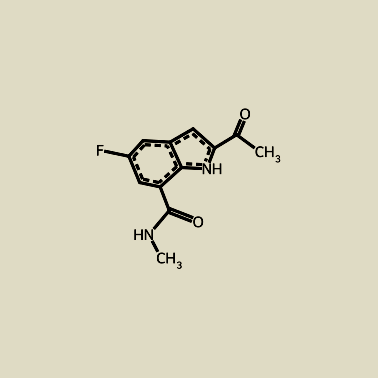 CNC(=O)c1cc(F)cc2cc(C(C)=O)[nH]c12